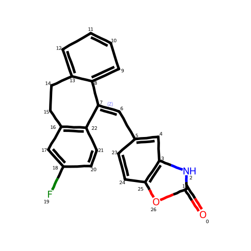 O=c1[nH]c2cc(/C=C3/c4ccccc4CCc4cc(F)ccc43)ccc2o1